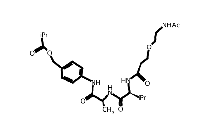 CC(=O)NCCOCCC(=O)N[C@H](C(=O)N[C@@H](C)C(=O)Nc1ccc(COC(=O)C(C)C)cc1)C(C)C